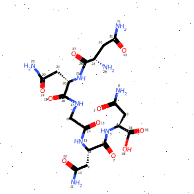 NC(=O)C[C@H](NC(=O)[C@H](CC(N)=O)NC(=O)CNC(=O)[C@H](CC(N)=O)NC(=O)[C@@H](N)CC(N)=O)C(=O)O